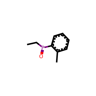 CC[P](=O)c1ccccc1C